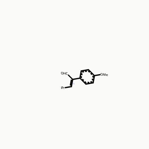 COc1ccc(/C(C=O)=C/C(C)C)cc1